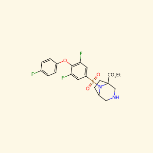 CCOC(=O)C12CCC(CNC1)N2S(=O)(=O)c1cc(F)c(Oc2ccc(F)cc2)c(F)c1